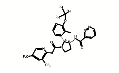 [2H]C([2H])([2H])Oc1cccc([C@@H]2[C@H](NC(=O)c3cccnn3)CCN2C(=O)Cc2ncc(C(F)(F)F)cc2C(F)(F)F)c1C